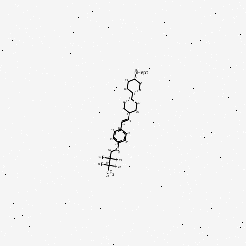 CCCCCCC[C@H]1CC[C@H]([C@H]2CC[C@H](C=Cc3ccc(OCC(F)(F)C(F)(F)C(F)(F)F)cc3)CC2)CC1